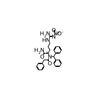 NC(=O)[C@@H](CCCNC(N)=N[N+](=O)[O-])N(C(=O)Cc1ccccc1)C(c1ccccc1)c1ccccc1